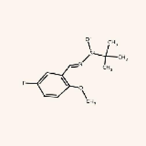 COc1ccc(F)cc1/C=N/[S+]([O-])C(C)(C)C